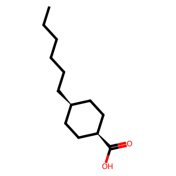 CCCCCC[C@H]1CC[C@@H](C(=O)O)CC1